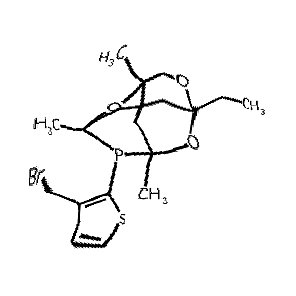 CC12CC3(C)OC(C)(CC(C)(O1)P3c1sccc1Br)O2